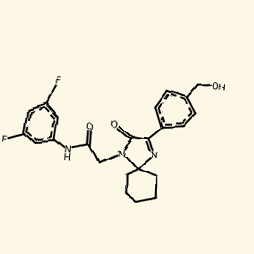 O=C(CN1C(=O)C(c2ccc(CO)cc2)=NC12CCCCC2)Nc1cc(F)cc(F)c1